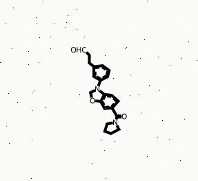 O=CCCc1cccc(N2COc3cc(C(=O)N4CCCC4)ccc32)c1